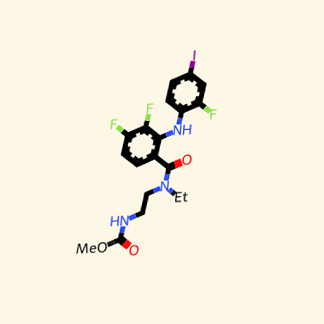 CCN(CCNC(=O)OC)C(=O)c1ccc(F)c(F)c1Nc1ccc(I)cc1F